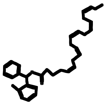 CC/C=C\C/C=C\C/C=C\C/C=C\C/C=C\CCCC(=O)OC(c1ccccc1)c1ccccc1C